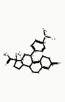 CC(=O)[C@@]1(O)CCC2C3CCC4=CC(=O)CCC4=C3C(c3ccc(N(C)C)cc3)C[C@@]21C